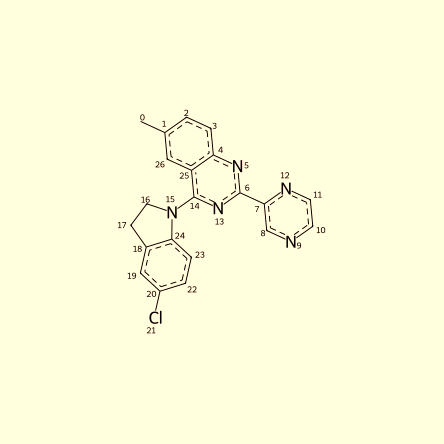 Cc1ccc2nc(-c3cnccn3)nc(N3CCc4cc(Cl)ccc43)c2c1